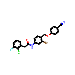 N#Cc1ccc(OCc2ccc(NC(=O)Cc3cccc(F)c3Cl)cc2Br)cc1